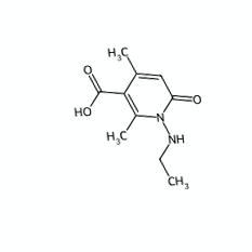 CCNn1c(C)c(C(=O)O)c(C)cc1=O